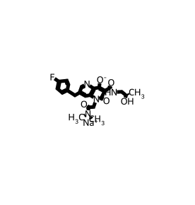 C[C@@H](O)CNC(=O)c1c([O-])c2ncc(Cc3ccc(F)cc3)cc2n(CC(=O)N(C)C)c1=O.[Na+]